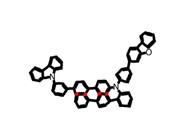 c1ccc(-c2ccc(-c3ccccc3N(c3ccc(-c4ccc(-c5cccc(-n6c7ccccc7c7ccccc76)c5)cc4)cc3)c3ccc(-c4ccc5c(c4)oc4ccccc45)cc3)cc2)cc1